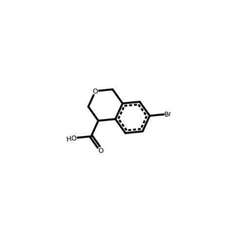 O=C(O)C1COCc2cc(Br)ccc21